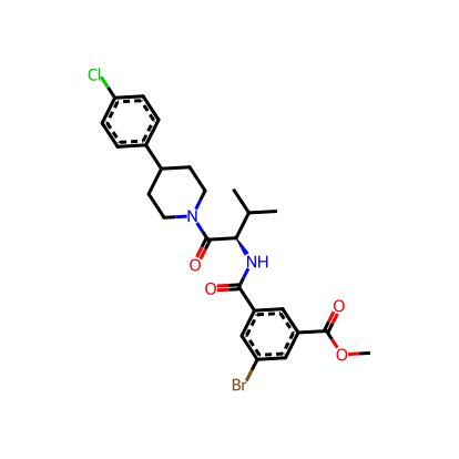 COC(=O)c1cc(Br)cc(C(=O)N[C@@H](C(=O)N2CCC(c3ccc(Cl)cc3)CC2)C(C)C)c1